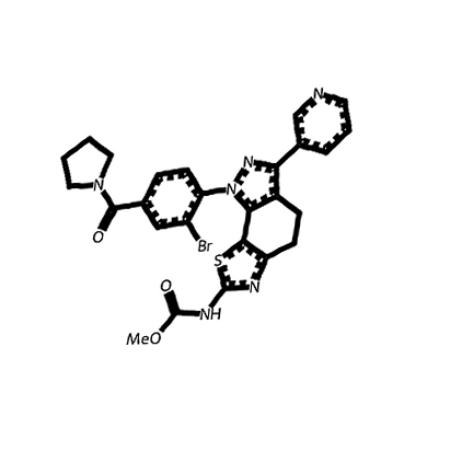 COC(=O)Nc1nc2c(s1)-c1c(c(-c3cccnc3)nn1-c1ccc(C(=O)N3CCCC3)cc1Br)CC2